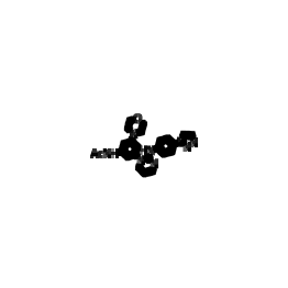 CC(=O)Nc1cc(N2CCOCC2)cc(N2CC=CN=C2Nc2ccc(-n3ccnn3)cc2)c1